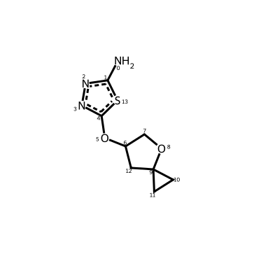 Nc1nnc(OC2COC3(CC3)C2)s1